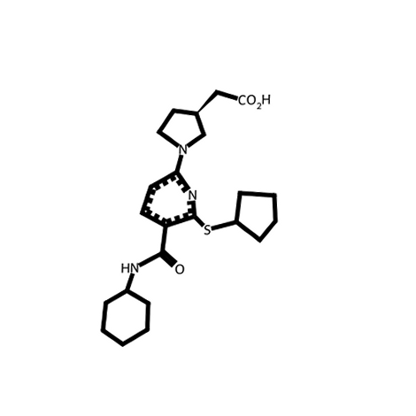 O=C(O)C[C@@H]1CCN(c2ccc(C(=O)NC3CCCCC3)c(SC3CCCC3)n2)C1